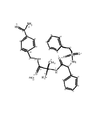 CC(C)(NC(=O)[C@H](NS(=O)(=O)Cc1ccccc1)c1ccccc1)C(=O)NCc1ccc(C(=N)N)cc1.Cl